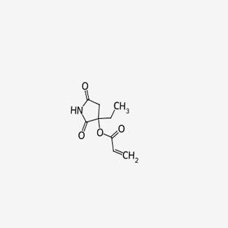 C=CC(=O)OC1(CC)CC(=O)NC1=O